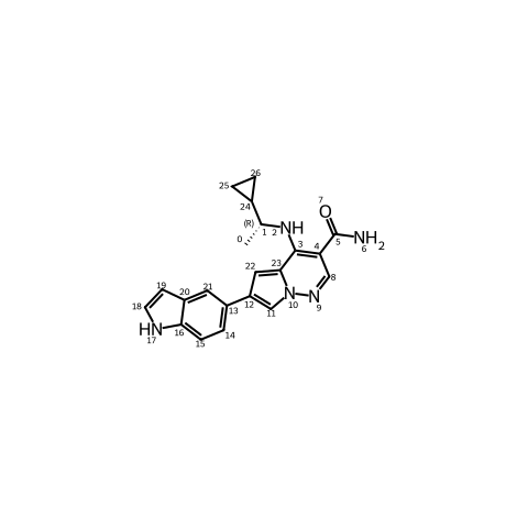 C[C@@H](Nc1c(C(N)=O)cnn2cc(-c3ccc4[nH]ccc4c3)cc12)C1CC1